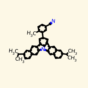 Cc1ccc(C#N)cc1-c1cc2c3cc4cc(C(C)C)ccc4cc3n3c4cc5ccc(C(C)C)cc5cc4c(c1)c23